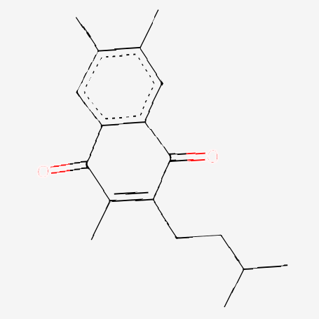 CC1=C(CCC(C)C)C(=O)c2cc(C)c(C)cc2C1=O